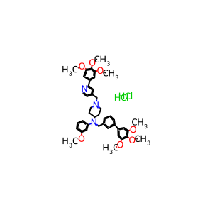 COc1cccc(N(Cc2cccc(-c3cc(OC)c(OC)c(OC)c3)c2)C2CCN(Cc3ccnc(-c4cc(OC)c(OC)c(OC)c4)c3)CC2)c1.Cl.Cl